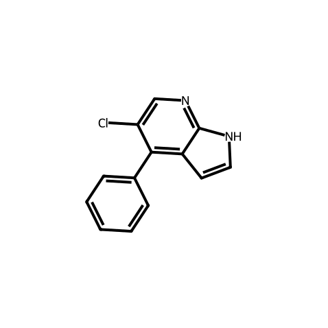 Clc1cnc2[nH]ccc2c1-c1ccccc1